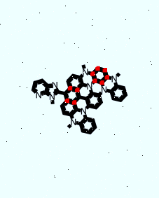 CN1c2ccccc2N(c2ccc(N3c4ccccc4N(C)c4ccccc43)c(N3c4ccccc4N(C)c4ccccc43)c2-c2ccc(-c3nc4cccnc4n3C)cc2)c2ccccc21